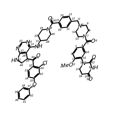 COc1ccc(C(=O)N2CCN(Cc3ccc(C(=O)N4CCC(Nc5ncnc6c5C(C(=O)c5ccc(Oc7ccccc7)cc5Cl)CN6)CC4)cc3)CC2)cc1N1CCC(=O)NC1=O